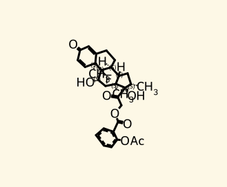 CC(=O)Oc1ccccc1C(=O)OCC(=O)[C@@]1(O)[C@@H](C)C[C@H]2[C@@H]3CCC4=CC(=O)C=C[C@]4(C)[C@@]3(F)[C@@H](O)C[C@@]21C